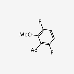 COc1c(F)ccc(F)c1C(C)=O